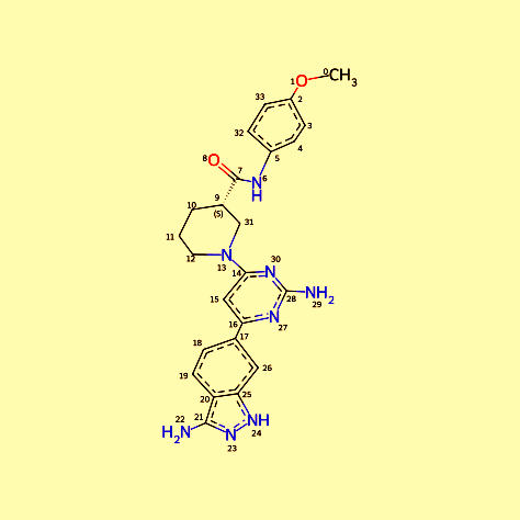 COc1ccc(NC(=O)[C@H]2CCCN(c3cc(-c4ccc5c(N)n[nH]c5c4)nc(N)n3)C2)cc1